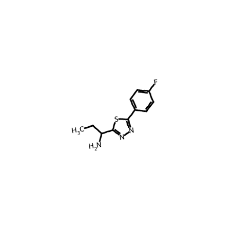 CCC(N)c1nnc(-c2ccc(F)cc2)s1